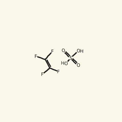 FC(F)=C(F)F.O=S(=O)(O)O